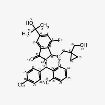 CC(C)(O)c1cc(F)c2c(c1)C(=O)N([C@H](c1ccc(Cl)cc1)c1ncccc1C#N)C2OCC1(CO)CC1